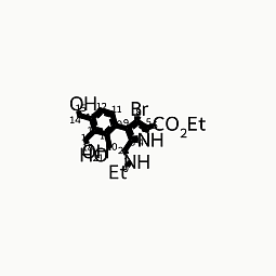 CCNCc1[nH]c(C(=O)OCC)c(Br)c1-c1ccc(CO)c(CO)c1CO